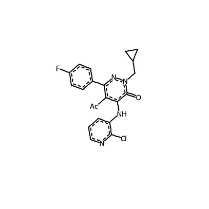 CC(=O)c1c(-c2ccc(F)cc2)nn(CC2CC2)c(=O)c1Nc1cccnc1Cl